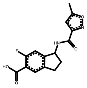 Cc1cc(C(=O)NC2CCc3cc(C(=O)O)c(F)cc32)no1